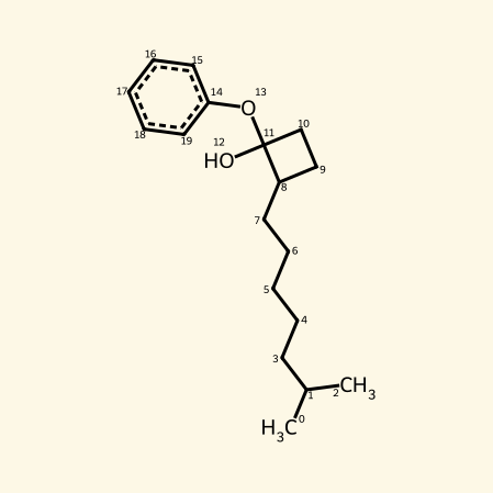 CC(C)CCCCCC1CCC1(O)Oc1ccccc1